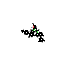 CC1=Cc2c(ccc(C)c2-c2cc(C)cc(C)c2)[CH]1[Zr]([Cl])([Cl])([CH]1C(c2ccc(C)o2)=Cc2c1ccc(C)c2-c1ccc(C(C)(C)C)cc1)=[Si](C)C